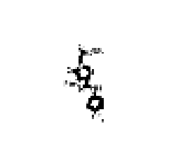 CCn1nc(Nc2ccc(C(F)(F)F)cc2)c2ncn(CC(=O)OC(C)(C)C)c(=O)c21